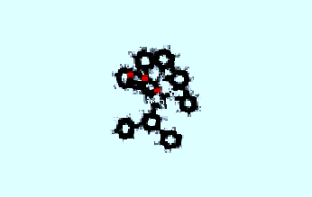 c1ccc(-c2cc(-c3ccccc3)cc(-c3nc(-c4ccccc4)nc(-n4c5ccccc5c5ccc6c7ccccc7n(-c7cccc(-c8ccccc8)c7-c7ccccc7)c6c54)n3)c2)cc1